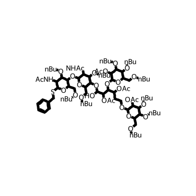 CCCCOCC1OC(OC2C(COCCCC)OC(SCc3ccccc3)C(NC(C)=O)C2OCCCC)C(NC(C)=O)C(OCCCC)C1OC(O)C(OC(C)=O)C(OC1OC(COCCCC)C(OCCCC)C(OCCCC)C1OC(C)=O)C(CCOC1OC(COCCCC)C(OCCCC)C(OCCCC)C1OC(C)=O)OC(C)=O